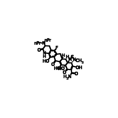 CCCN(CCC)C1Cc2c(F)c3c(c(O)c2NC1=O)C(=O)C1=C(O)[C@]2(O)C(=O)C(C(N)=O)=C(O)[C@@H](N(C)C)[C@H]2C[C@H]1C3